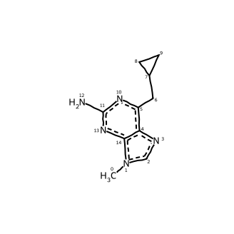 Cn1cnc2c(CC3CC3)nc(N)nc21